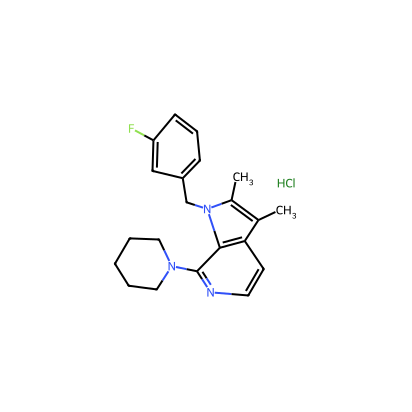 Cc1c(C)n(Cc2cccc(F)c2)c2c(N3CCCCC3)nccc12.Cl